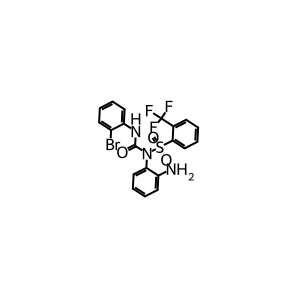 Nc1ccccc1N(C(=O)Nc1ccccc1Br)S(=O)(=O)c1ccccc1C(F)(F)F